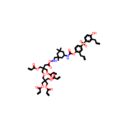 C=CCc1cc(S(=O)(=O)c2ccc(OC(=O)NC3CC(C)(C)CC(C)(CNOC(=O)CC(COCC(COC(=O)C=C)(COC(=O)C=C)COC(=O)C=C)(COC(=O)C=C)COC(=O)C=C)C3)c(CC=C)c2)ccc1O